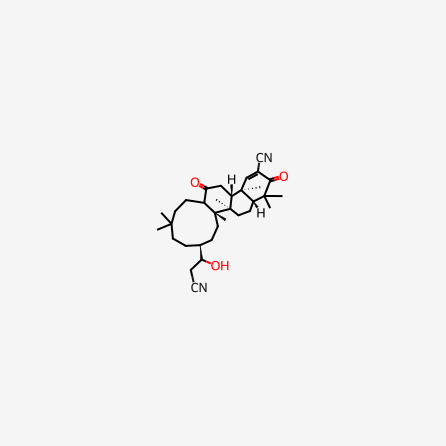 CC1(C)CCC2C(=O)C[C@@H]3[C@@]4(C)C=C(C#N)C(=O)C(C)(C)[C@@H]4CC[C@@]3(C)[C@]2(C)CC[C@@H](C(O)CC#N)CC1